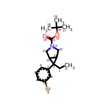 CCC1(c2cccc(Br)c2)C2CN(C(=O)OC(C)(C)C)CC21